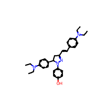 CCN(CC)c1ccc(C=CC2=NN(c3ccc(O)cc3)C(c3ccc(N(CC)CC)cc3)C2)cc1